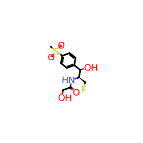 CS(=O)(=O)c1ccc([C@@H](O)[C@@H](CF)NC(=O)CO)cc1